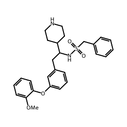 COc1ccccc1Oc1cccc(CC(NS(=O)(=O)Cc2ccccc2)C2CCNCC2)c1